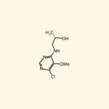 COc1c(Cl)ncnc1NC[C@H](C)O